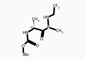 C[C@@H](NC(=O)OC(C)(C)C)C(=O)N(C)NCC(F)(F)F